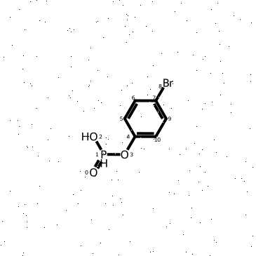 O=[PH](O)Oc1ccc(Br)cc1